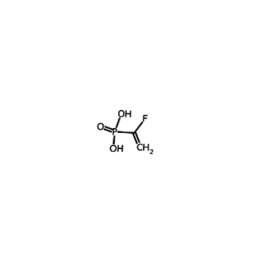 C=C(F)P(=O)(O)O